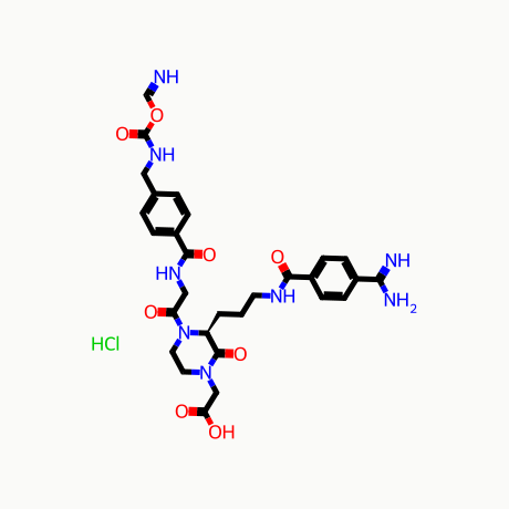 Cl.N=COC(=O)NCc1ccc(C(=O)NCC(=O)N2CCN(CC(=O)O)C(=O)[C@@H]2CCCNC(=O)c2ccc(C(=N)N)cc2)cc1